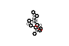 c1ccc(-n2c3ccccc3c3ccc(-c4ccc5oc6cccc(-c7nc(-c8ccc9c(c8)oc8ccccc89)nc(-c8cccc9c8sc8ccccc89)n7)c6c5c4)cc32)cc1